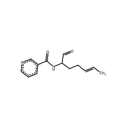 CC=CCCC(C=O)NC(=O)c1cccnc1